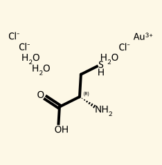 N[C@@H](CS)C(=O)O.O.O.O.[Au+3].[Cl-].[Cl-].[Cl-]